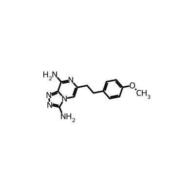 COc1ccc(CCc2cn3c(N)nnc3c(N)n2)cc1